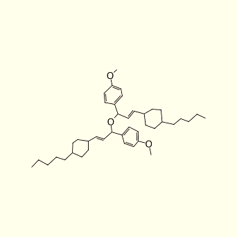 CCCCCC1CCC(C=CC(OC(C=CC2CCC(CCCCC)CC2)c2ccc(OC)cc2)c2ccc(OC)cc2)CC1